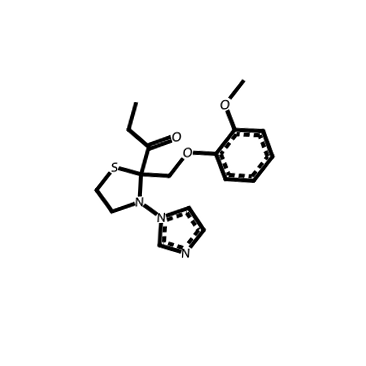 CCC(=O)C1(COc2ccccc2OC)SCCN1n1ccnc1